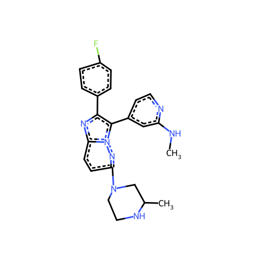 CNc1cc(-c2c(-c3ccc(F)cc3)nc3ccc(N4CCNC(C)C4)nn23)ccn1